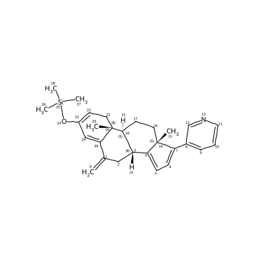 C=C1C[C@H]2C3=CC=C(c4cccnc4)[C@@]3(C)CC[C@@H]2[C@@]2(C)CC=C(O[Si](C)(C)C)C=C12